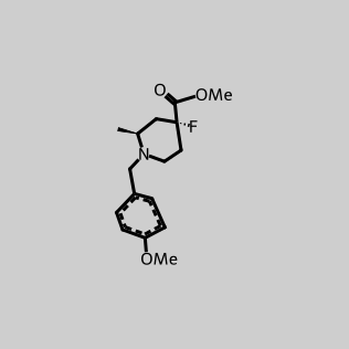 COC(=O)[C@@]1(F)CCN(Cc2ccc(OC)cc2)[C@@H](C)C1